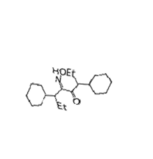 CCC(C(=O)C(=NO)C(CC)C1CCCCC1)C1CCCCC1